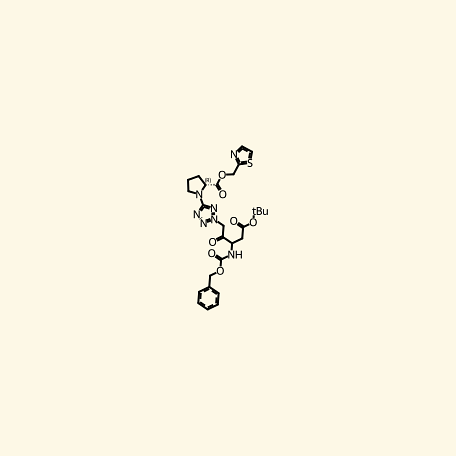 CC(C)(C)OC(=O)CC(NC(=O)OCc1ccccc1)C(=O)Cn1nnc(N2CCC[C@@H]2C(=O)OCc2nccs2)n1